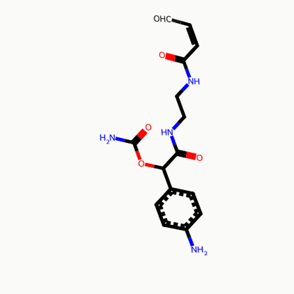 NC(=O)OC(C(=O)NCCNC(=O)/C=C\C=O)c1ccc(N)cc1